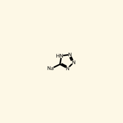 [Na][c]1nnn[nH]1